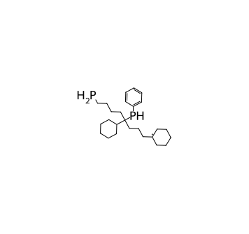 PCCCCC(CCC[C]1CCCCC1)(Pc1ccccc1)C1CCCCC1